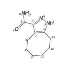 NC(=O)c1n[nH]c2c1CCCCCC2